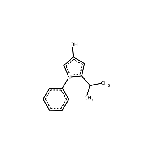 CC(C)c1cc(O)cn1-c1ccccc1